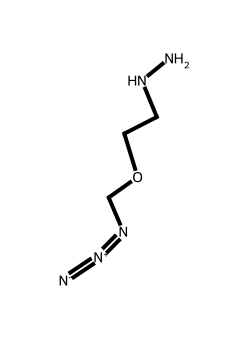 [N-]=[N+]=NCOCCNN